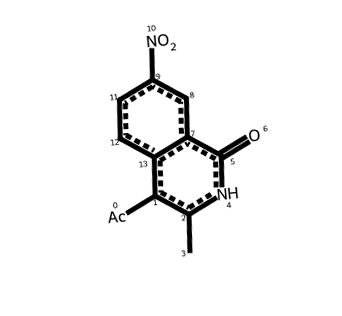 CC(=O)c1c(C)[nH]c(=O)c2cc([N+](=O)[O-])ccc12